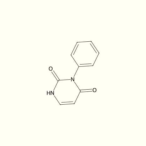 O=c1cc[nH]c(=O)n1-c1ccccc1